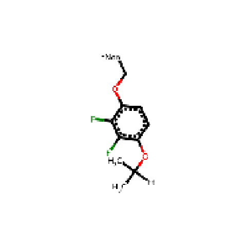 CCCCCCCCCCOc1ccc(OC(C)(C)CC)c(F)c1F